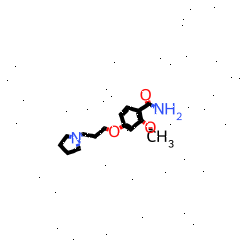 COc1cc(OCCCN2CCCC2)ccc1C(N)=O